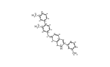 Cc1cc(C2=CC3=C(CN2)CN(Cc2ccc(-c4ccnc(C)c4)c(C)c2)C=C3)ccn1